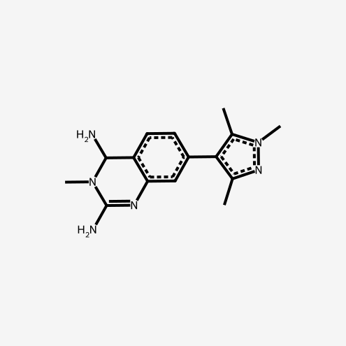 Cc1nn(C)c(C)c1-c1ccc2c(c1)N=C(N)N(C)C2N